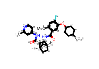 COc1cc(F)c(OC2CCC(C(=O)O)CC2)cc1C(=O)N[C@@H]1[C@H]2CC[C@H](C2)[C@@H]1C(=O)Nc1ccnc(C(F)(F)F)c1